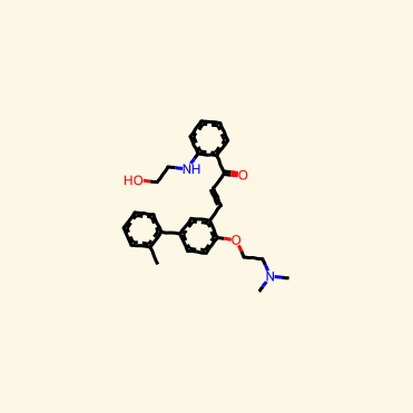 Cc1ccccc1-c1ccc(OCCN(C)C)c(C=CC(=O)c2ccccc2NCCO)c1